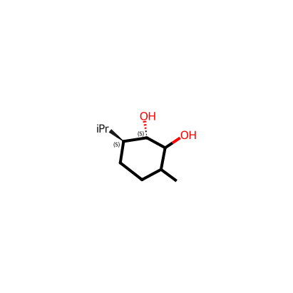 CC1CC[C@@H](C(C)C)[C@H](O)C1O